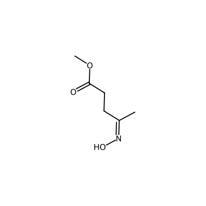 COC(=O)CC/C(C)=N\O